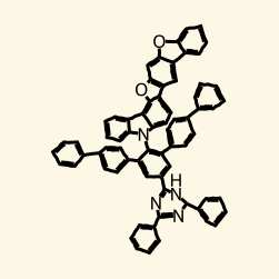 c1ccc(C2=NC(c3ccccc3)NC(c3cc(-c4ccc(-c5ccccc5)cc4)c(-n4c5ccccc5c5c6oc7cc8oc9ccccc9c8cc7c6ccc54)c(-c4ccc(-c5ccccc5)cc4)c3)=N2)cc1